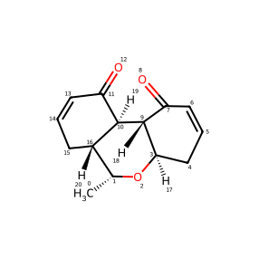 C[C@H]1O[C@@H]2CC=CC(=O)[C@H]2[C@@H]2C(=O)C=CC[C@H]21